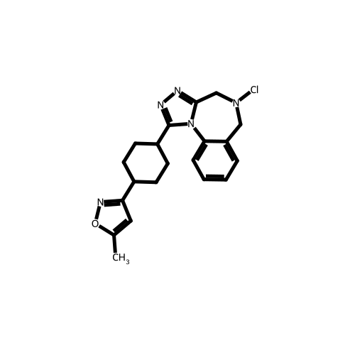 Cc1cc(C2CCC(c3nnc4n3-c3ccccc3CN(Cl)C4)CC2)no1